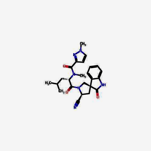 CC(C)C[C@@H](C(=O)N1C[C@]2(C[C@H]1C#N)C(=O)Nc1ccccc12)N(C)C(=O)c1ccn(C)n1